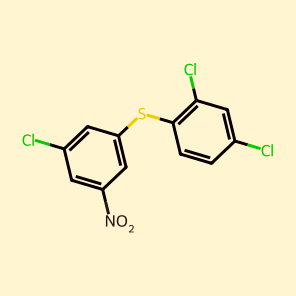 O=[N+]([O-])c1cc(Cl)cc(Sc2ccc(Cl)cc2Cl)c1